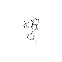 Cc1cccc2nc(-c3cccc(Cl)c3)c(NC(C)(C)C)n12